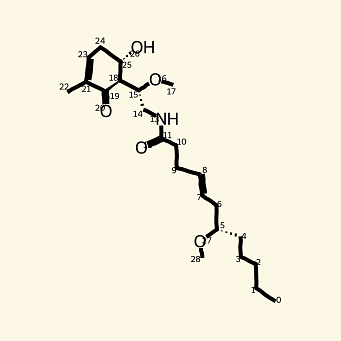 CCCCC[C@@H](C/C=C/CCC(=O)NC[C@@H](OC)[C@H]1C(=O)C(C)=CC[C@@H]1O)OC